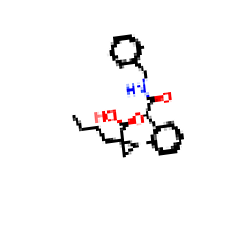 CCCCC1(C(=O)O)C[C@H]1c1ccccc1CC(=O)NCc1ccccc1